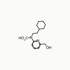 O=C(O)N(CCC1CCCCC1)c1cccc(CO)n1